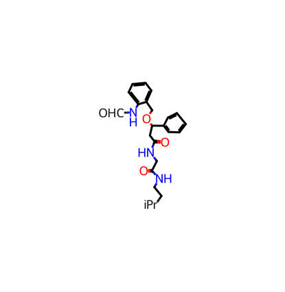 CC(C)CCNC(=O)CNC(=O)CC(OCc1ccccc1NC=O)c1ccccc1